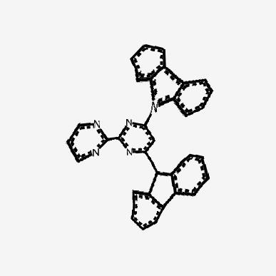 c1cnc(-c2nc(C3c4ccccc4-c4ccccc43)cc(-n3c4ccccc4c4ccccc43)n2)nc1